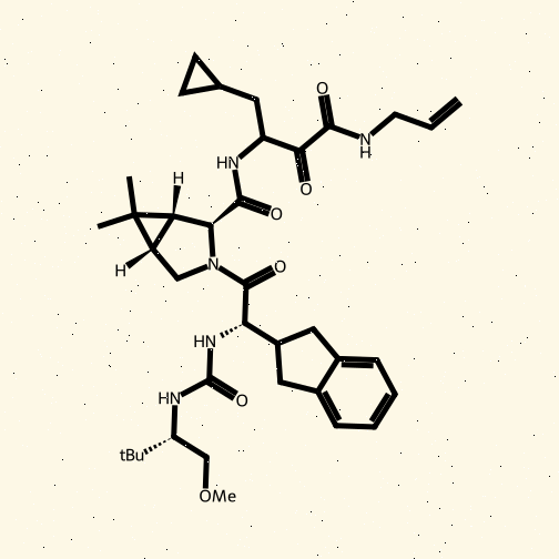 C=CCNC(=O)C(=O)C(CC1CC1)NC(=O)[C@@H]1[C@@H]2[C@H](CN1C(=O)[C@@H](NC(=O)N[C@H](COC)C(C)(C)C)C1Cc3ccccc3C1)C2(C)C